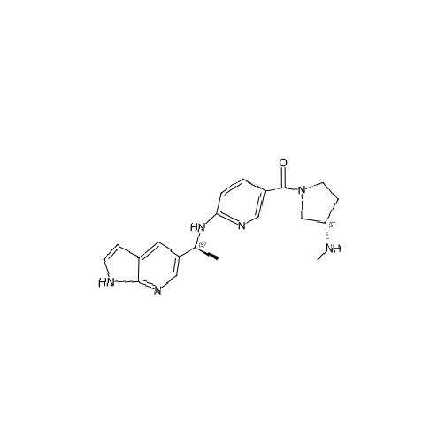 CN[C@H]1CCN(C(=O)c2ccc(N[C@@H](C)c3cnc4[nH]ccc4c3)nc2)C1